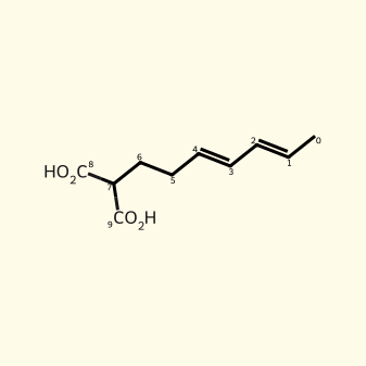 C/C=C/C=C/CCC(C(=O)O)C(=O)O